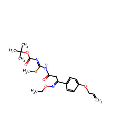 C=CCOc1ccc(C(CC(=O)NC(=NC(=O)OC(C)(C)C)SC)=NOCC)cc1